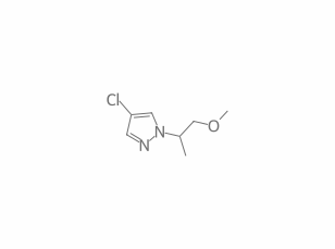 COCC(C)n1cc(Cl)cn1